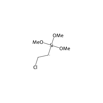 CO[Si]([CH]CCl)(OC)OC